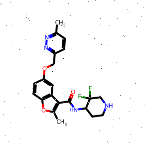 Cc1ccc(COc2ccc3oc(C)c(C(=O)NC4CCNCC4(F)F)c3c2)nn1